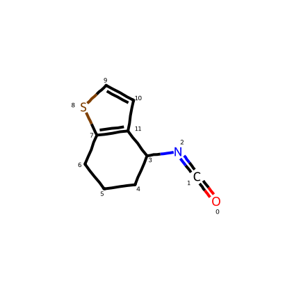 O=C=NC1CCCc2sccc21